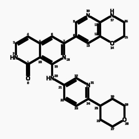 O=c1[nH]ccc2cc(-c3cnc4c(c3)OCCN4)nc(Nc3ccc(C4CCOCC4)nc3)c12